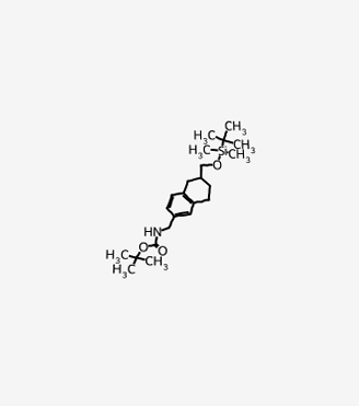 CC(C)(C)OC(=O)NCc1ccc2c(c1)CCC(CO[Si](C)(C)C(C)(C)C)C2